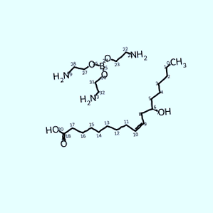 CCCCCC[C@@H](O)C/C=C\CCCCCCCC(=O)O.NCCOB(OCCN)OCCN